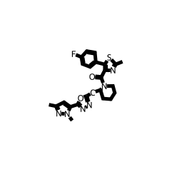 Cc1cc(-c2nnc(CC3CCCCN3C(=O)c3nc(C)sc3-c3ccc(F)cc3)o2)n(C)n1